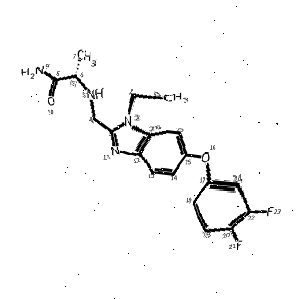 CCn1c(CN[C@@H](C)C(N)=O)nc2ccc(Oc3ccc(F)c(F)c3)cc21